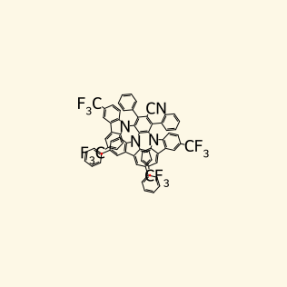 N#Cc1c(-c2ccccc2)c(-n2c3ccc(C(F)(F)F)cc3c3cc(C(F)(F)F)ccc32)c(-n2c3ccc(-c4ccccc4)cc3c3cc(-c4ccccc4)ccc32)c(-n2c3ccc(C(F)(F)F)cc3c3cc(C(F)(F)F)ccc32)c1-c1ccccc1